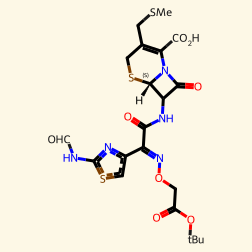 CSCC1=C(C(=O)O)N2C(=O)C(NC(=O)C(=NOCC(=O)OC(C)(C)C)c3csc(NC=O)n3)[C@@H]2SC1